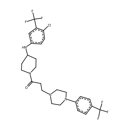 O=C(CCN1CCN(c2ccc(C(F)(F)F)cc2)CC1)N1CCC(Nc2ccc(Cl)c(C(F)(F)F)c2)CC1